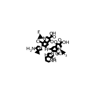 COc1c(N2C[C@@H]3CCCN[C@@H]3C2)c(F)cc2c(=O)c(C(=O)O)cn(C3CC3)c12.N[C@@H]1CN(c2c(F)cc3c(=O)c(C(=O)O)cn([C@@H]4C[C@@H]4F)c3c2Cl)CC12CC2